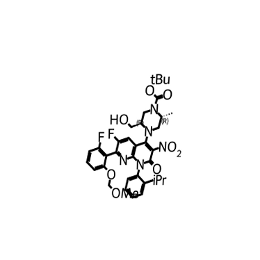 COCOc1cccc(F)c1-c1nc2c(cc1F)c(N1C[C@@H](C)N(C(=O)OC(C)(C)C)C[C@@H]1CO)c([N+](=O)[O-])c(=O)n2-c1ccccc1C(C)C